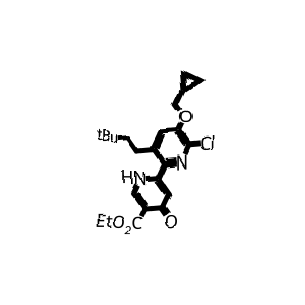 CCOC(=O)c1c[nH]c(-c2nc(Cl)c(OCC3CC3)cc2CCC(C)(C)C)cc1=O